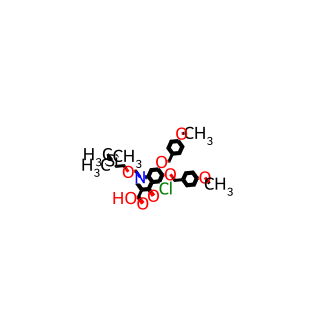 COc1ccc(COc2cc3c(c(Cl)c2OCc2ccc(OC)cc2)c(=O)c(C(=O)O)cn3COCC[Si](C)(C)C)cc1